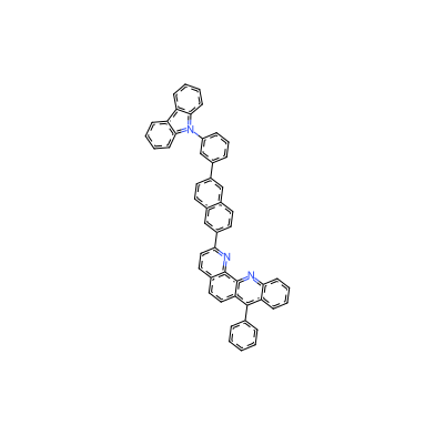 c1ccc(-c2c3ccccc3nc3c2ccc2ccc(-c4ccc5cc(-c6cccc(-n7c8ccccc8c8ccccc87)c6)ccc5c4)nc23)cc1